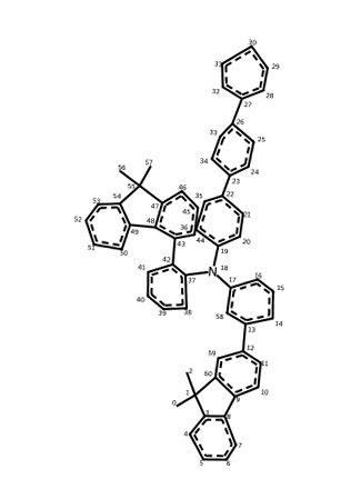 CC1(C)c2ccccc2-c2ccc(-c3cccc(N(c4ccc(-c5ccc(-c6ccccc6)cc5)cc4)c4ccccc4-c4cccc5c4-c4ccccc4C5(C)C)c3)cc21